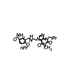 CCCOc1ccc(C(N)=O)cc1CNCCn1cnc2c1c(=O)n(C)c(=O)n2CC(C)C